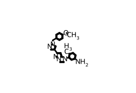 COc1ccc(Cn2cc(-c3cc4n(-c5cc(N)ccc5C)ccn4n3)cn2)cc1